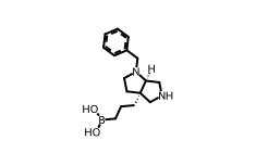 OB(O)CCC[C@]12CCN(Cc3ccccc3)[C@H]1CNC2